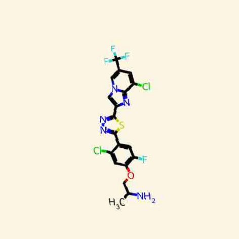 CC(N)COc1cc(Cl)c(-c2nnc(-c3cn4cc(C(F)(F)F)cc(Cl)c4n3)s2)cc1F